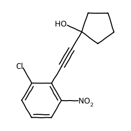 O=[N+]([O-])c1cccc(Cl)c1C#CC1(O)CCCC1